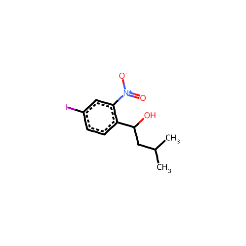 CC(C)CC(O)c1ccc(I)cc1[N+](=O)[O-]